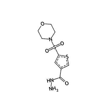 NNC(=O)c1csc(S(=O)(=O)N2CCOCC2)c1